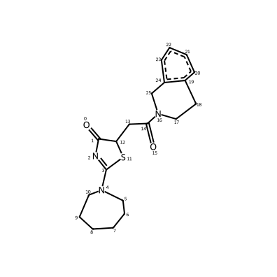 O=C1N=C(N2CCCCCC2)SC1CC(=O)N1CCc2ccccc2C1